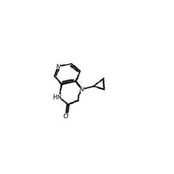 O=C1CN(C2CC2)c2ccncc2N1